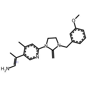 C=C1N(Cc2cccc(OC)c2)CCN1c1cc(C)c(/C(C)=C/N)cn1